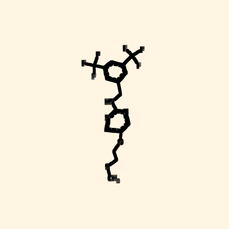 CSCCOc1cnc(NCc2cc(C(F)(F)F)cc(C(F)(F)F)c2)nc1